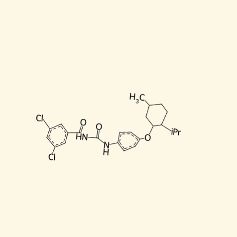 CC1CCC(C(C)C)C(Oc2ccc(NC(=O)NC(=O)c3cc(Cl)cc(Cl)c3)cc2)C1